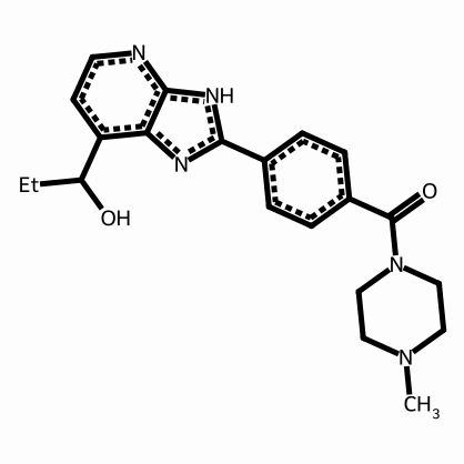 CCC(O)c1ccnc2[nH]c(-c3ccc(C(=O)N4CCN(C)CC4)cc3)nc12